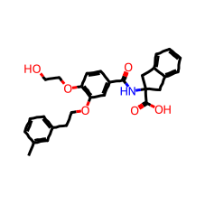 Cc1cccc(CCOc2cc(C(=O)NC3(C(=O)O)Cc4ccccc4C3)ccc2OCCO)c1